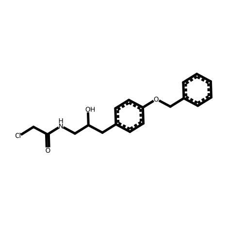 O=C(CCl)NCC(O)Cc1ccc(OCc2ccccc2)cc1